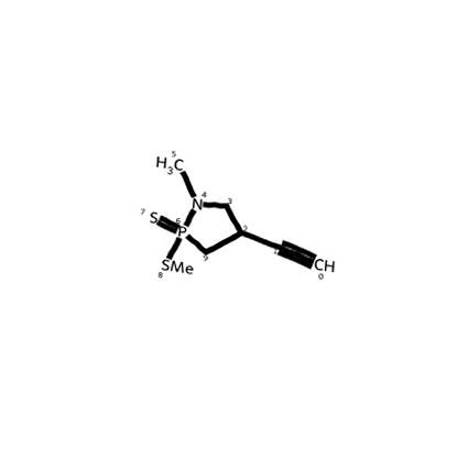 C#CC1CN(C)P(=S)(SC)C1